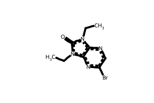 CCn1c(=O)n(CC)c2nc(Br)cnc21